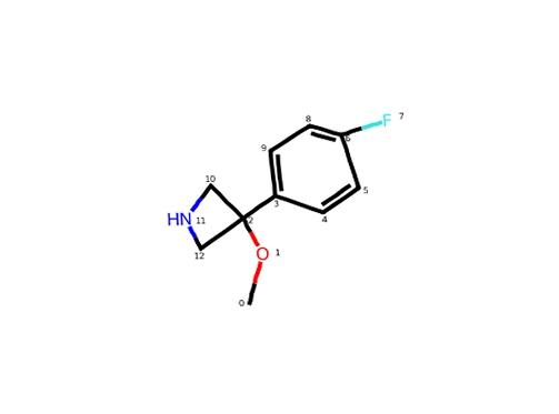 COC1(c2ccc(F)cc2)CNC1